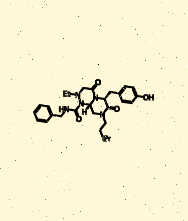 CCN1CC(=O)N2[C@@H](Cc3ccc(O)cc3)C(=O)N(CCC(C)C)C[C@@H]2N1C(=O)NCc1ccccc1